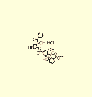 CCOC(=O)c1cccc(O)c1C(=O)c1c(O)cc(C(=O)OC2CNCC2N(O)C(=O)c2ccccc2)cc1O.Cl